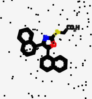 O=C(O)CSc1nc(-c2cccc3ccccc23)c(-c2cccc3ccccc23)o1